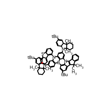 CC(C)(C)C1=CC2C(C=C1)N(c1cc3c4c(c1)-n1c5c(c6cc(C(C)(C)C)cc(c61)B4c1ccc(N4c6ccc(C(C)(C)C)cc6C6(C)CCCCC46C)cc1N3c1cccc3sc4ccccc4c13)C(C)(C)c1ccccc1-5)C1(C)CCCCC21C